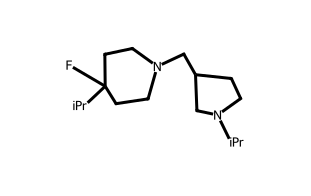 CC(C)N1CCC(CN2CCC(F)(C(C)C)CC2)C1